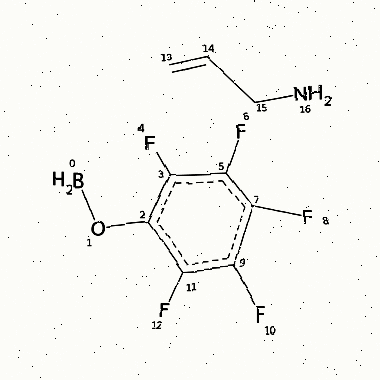 BOc1c(F)c(F)c(F)c(F)c1F.C=CCN